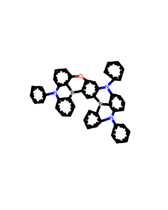 c1ccc(N2c3ccccc3B3c4cc5c(cc4Oc4cccc2c43)N(c2ccccc2)c2cccc3c2B5c2ccccc2N3c2ccccc2)cc1